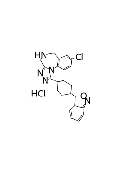 Cl.Clc1ccc2c(c1)CNCc1nnc(C3CCC(c4onc5ccccc45)CC3)n1-2